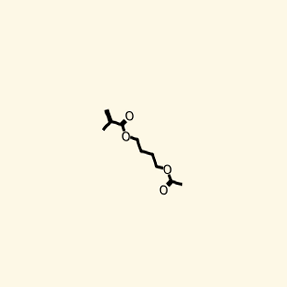 C=C(C)C(=O)OCCCCOC(C)=O